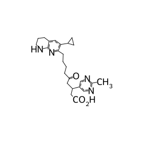 Cc1ncc(C(CC(=O)O)CC(=O)CCCCc2nc3c(cc2C2CC2)CCCN3)cn1